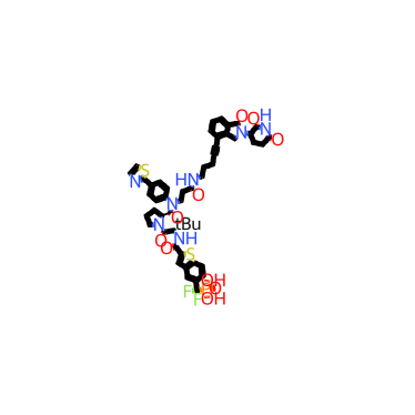 CC(C)(C)[C@H](NC(=O)c1cc2cc(C(F)(F)P(=O)(O)O)ccc2s1)C(=O)N1CCC[C@H]1C(=O)N(CCC(=O)NCCCC#Cc1cccc2c1CN(C1CCC(=O)NC1=O)C2=O)c1ccc(-c2nccs2)cc1